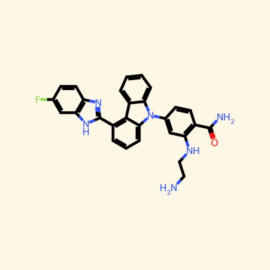 NCCNc1cc(-n2c3ccccc3c3c(-c4nc5ccc(F)cc5[nH]4)cccc32)ccc1C(N)=O